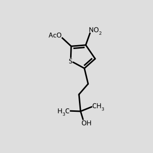 CC(=O)Oc1sc(CCC(C)(C)O)cc1[N+](=O)[O-]